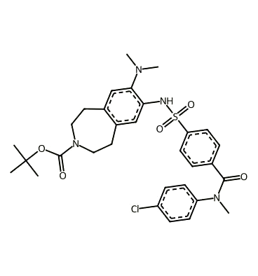 CN(C)c1cc2c(cc1NS(=O)(=O)c1ccc(C(=O)N(C)c3ccc(Cl)cc3)cc1)CCN(C(=O)OC(C)(C)C)CC2